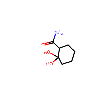 NC(=O)C1CCCCC1(O)O